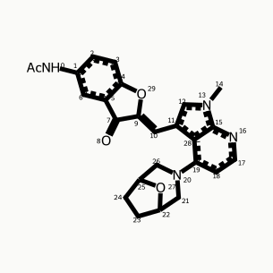 CC(=O)Nc1ccc2c(c1)C(=O)C(=Cc1cn(C)c3nccc(N4CC5CCC(C4)O5)c13)O2